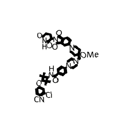 COC1(CN2CCN(c3ccc(C(=O)N[C@H]4C(C)(C)[C@H](Oc5ccc(C#N)c(Cl)c5)C4(C)C)cc3)CC2)CCN(c2ccc3c(c2)C(=O)N(C2CCC(=O)NC2=O)C3=O)CC1